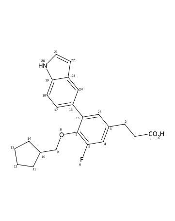 O=C(O)CCc1cc(F)c(OCC2CCCC2)c(-c2ccc3[nH]ccc3c2)c1